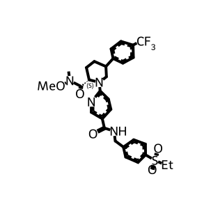 CCS(=O)(=O)c1ccc(CNC(=O)c2ccc(N3CC(c4ccc(C(F)(F)F)cc4)CC[C@H]3C(=O)N(C)OC)nc2)cc1